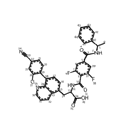 CC(NC(=O)c1cc(F)c(C(=O)NC(Cc2ccc(-c3ccc(C#N)cc3Cl)c3ncccc23)C(=O)O)c(F)c1)c1ccccc1